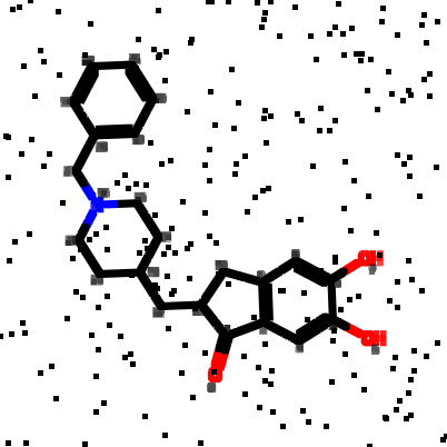 O=C1c2cc(O)c(O)cc2CC1CC1CCN(Cc2ccccc2)CC1